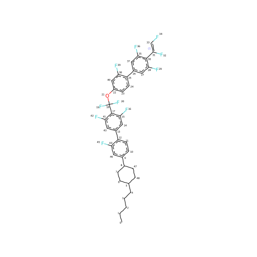 CCCCCC1CCC(c2ccc(-c3cc(F)c(C(F)(F)Oc4ccc(-c5cc(F)c(/C(F)=C/F)c(F)c5)c(F)c4)c(F)c3)c(F)c2)CC1